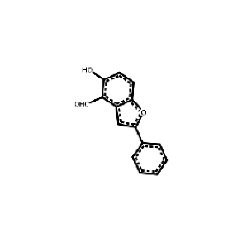 O=Cc1c(O)ccc2oc(-c3ccccc3)cc12